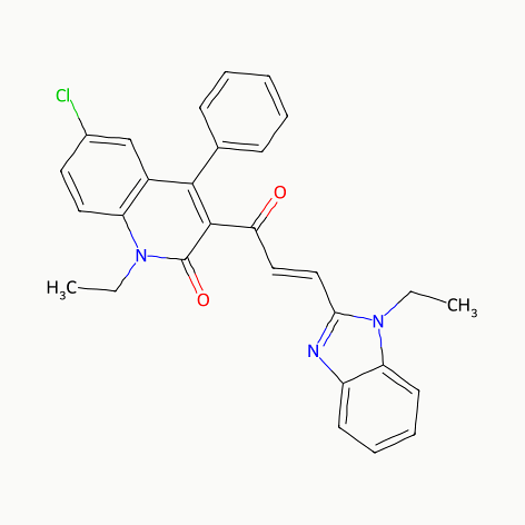 CCn1c(/C=C/C(=O)c2c(-c3ccccc3)c3cc(Cl)ccc3n(CC)c2=O)nc2ccccc21